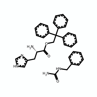 NC(=O)NCc1ccccc1.N[C@@H](Cc1c[nH]cn1)C(=O)OCC(c1ccccc1)(c1ccccc1)c1ccccc1